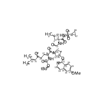 C=C1CC(NC(=O)[C@@H]2C[C@@H](Oc3nccc4cc(OC)ccc34)CN2C(=O)[C@H](CCC(=O)C=C(C)C)NC(=O)OC(C)(C)C)(C(=O)NS(=O)(=O)C2CC2)C1